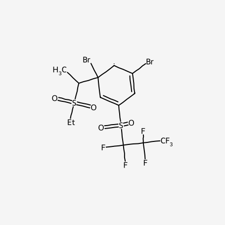 CCS(=O)(=O)C(C)C1(Br)[CH]C(Br)=CC(S(=O)(=O)C(F)(F)C(F)(F)C(F)(F)F)=C1